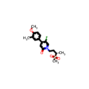 COc1ccc(-c2cc(=O)n(CC[C@H](C)S(C)(=O)=O)cc2F)cc1C